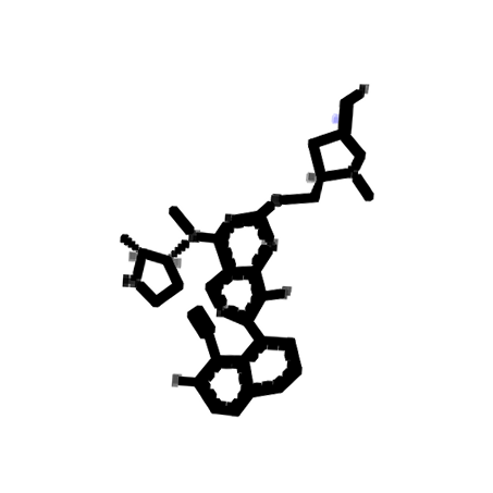 C#Cc1c(F)ccc2cccc(-c3ncc4c(N(C)[C@@H]5CCN[C@@H]5C)nc(OC[C@H]5C/C(=C/F)CN5C)nc4c3F)c12